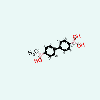 CB(O)c1ccc(-c2ccc(B(O)O)cc2)cc1